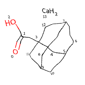 O=C(O)C12CC3CC(CC(C3)C1)C2.[CaH2]